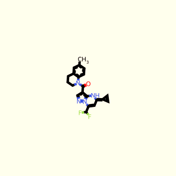 Cc1ccc2c(c1)CCCN2C(=O)c1cnn2c1NC(=C1C=C1)C=C2C(F)F